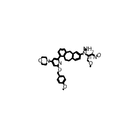 COC[C@H](CN=O)N(N)c1ccc2c(c1)Cc1cccc(-c3cc(N4CCOCC4)cc(OCc4ccc(OC)cc4)n3)c1CC2